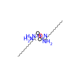 CCCCCCCCCCCCCCC(N)C(C)C(N)Cc1ccccc1Oc1ccccc1CC(N)C(C)C(N)CCCCCCCCCCCCCC